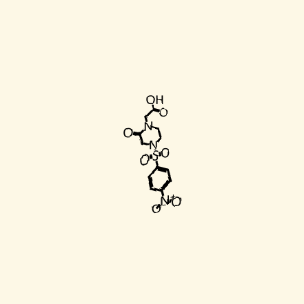 O=C(O)CN1CCN(S(=O)(=O)c2ccc([N+](=O)[O-])cc2)CC1=O